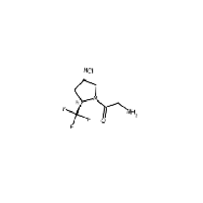 Cl.NCC(=O)N1CCC[C@@H]1C(F)(F)F